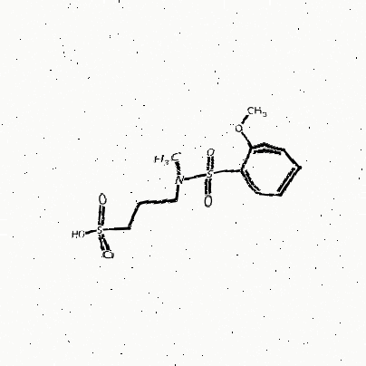 COc1ccccc1S(=O)(=O)N(C)CCCS(=O)(=O)O